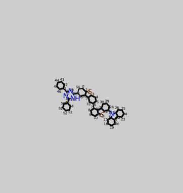 C1=c2sc3ccc(-c4cccc5sc6c(-n7c8ccccc8c8ccccc87)cccc6c45)cc3c2=CC(C2N=C(c3ccccc3)N=C(c3ccccc3)N2)C1